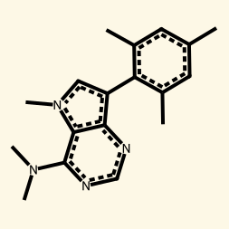 Cc1cc(C)c(-c2cn(C)c3c(N(C)C)ncnc23)c(C)c1